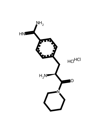 Cl.Cl.N=C(N)c1ccc(C[C@H](N)C(=O)N2CCCCC2)cc1